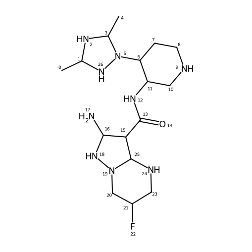 CC1NC(C)N(C2CCNCC2NC(=O)C2C(N)NN3CC(F)CNC23)N1